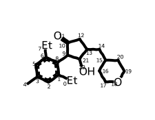 CCc1cc(C)cc(CC)c1C1C(=O)CC(CC2CCOCC2)C1O